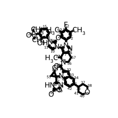 Cc1cc(-n2nc3c(c2-n2ccn(-c4cccc(P(C)(C)=O)c4O)c2=O)C(C)N(C(=O)c2cc4cc(C5CCOCC5)ccc4n2C2(c4noc(=O)[nH]4)CC2C)CC3)cc(C)c1F